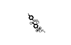 CS(=O)(=O)c1ccc(C(=O)Nc2ccc(I)cc2)c(Cl)c1